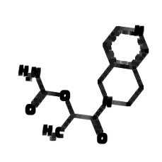 CC(OC(N)=O)C(=O)N1CCc2cnccc2C1